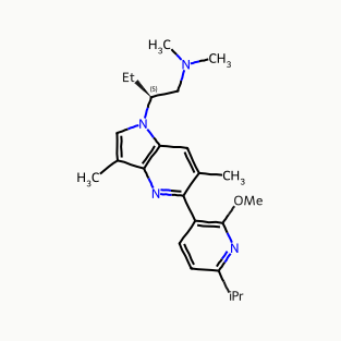 CC[C@@H](CN(C)C)n1cc(C)c2nc(-c3ccc(C(C)C)nc3OC)c(C)cc21